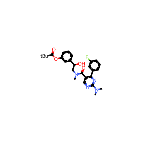 CN(CC(O)c1cccc(OC(=O)C(C)(C)C)c1)C(=O)c1cnc(N(C)C)nc1-c1cccc(F)c1